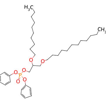 CCCCCCCCCCCCOCC(COP(=O)(Oc1ccccc1)Oc1ccccc1)OCCCCCCCCCC